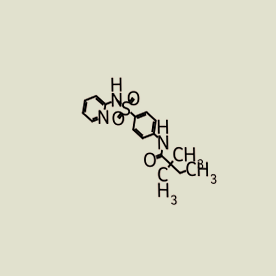 CCC(C)(C)C(=O)Nc1ccc(S(=O)(=O)Nc2ccccn2)cc1